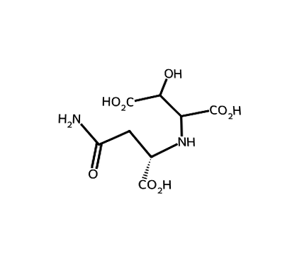 NC(=O)C[C@H](NC(C(=O)O)C(O)C(=O)O)C(=O)O